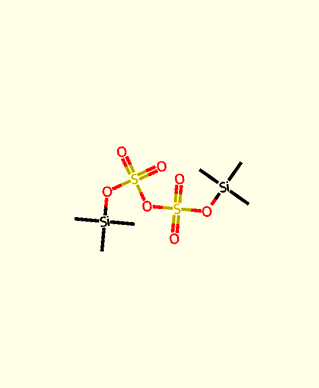 C[Si](C)(C)OS(=O)(=O)OS(=O)(=O)O[Si](C)(C)C